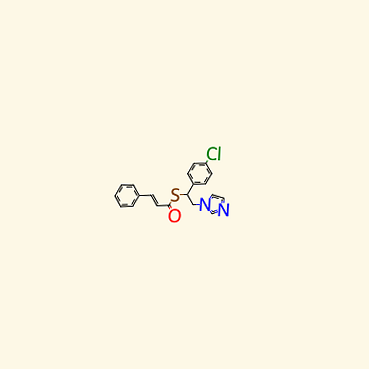 O=C(C=Cc1ccccc1)SC(Cn1ccnc1)c1ccc(Cl)cc1